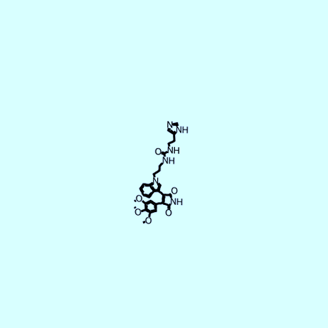 COc1cc(C2=C(c3cn(CCCNC(=O)NCCc4cnc[nH]4)c4ccccc34)C(=O)NC2=O)cc(OC)c1OC